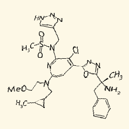 COCCN(CC1CC1C)c1cc(-c2nnc([C@](C)(N)Cc3ccccc3)o2)c(Cl)c(N(Cc2c[nH]nn2)S(C)(=O)=O)n1